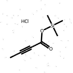 CC#CC(=O)O[Si](C)(C)C.Cl